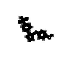 COc1ccc(Cc2cncn2-c2ccc(S(C)(=O)=O)cn2)cc1